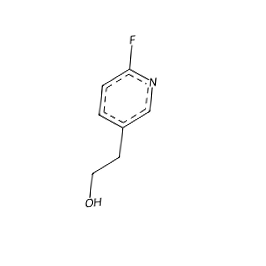 OCCc1ccc(F)nc1